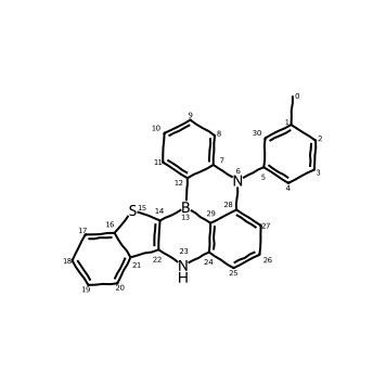 Cc1cccc(N2c3ccccc3B3c4sc5ccccc5c4Nc4cccc2c43)c1